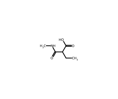 CCC(C(=O)O)C(=O)NC